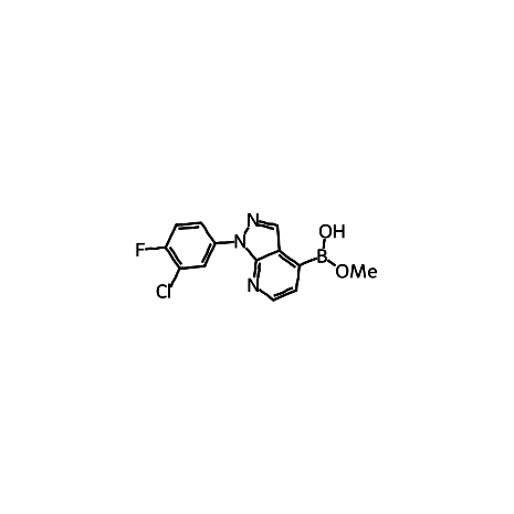 COB(O)c1ccnc2c1cnn2-c1ccc(F)c(Cl)c1